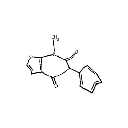 CN1C(=O)C(c2ccccc2)C(=O)c2ccsc21